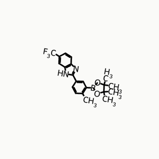 Cc1ccc(-c2nc3ccc(C(F)(F)F)cc3[nH]2)cc1B1OC(C)(C)C(C)(C)O1